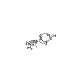 BC(B)(C1C2(CC2)C12CC2)C(O)(O)Oc1ccn(-c2ccc3c(n2)N2CC(CCCNc4nc(ccc4O)SNC3=O)CC2(C)C)n1